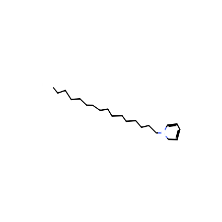 CCCCCCCCCCCCCCCCN1C=CC=CC1.O